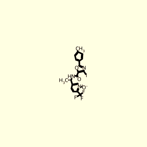 Cc1ccc(-c2nc(I)c(C(=O)N[C@H](C)c3ccc(C(F)(F)F)[n+]([O-])c3)o2)cc1